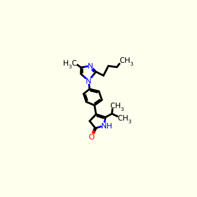 CCCCc1nc(C)cn1-c1ccc(C2=C(C(C)C)NC(=O)C2)cc1